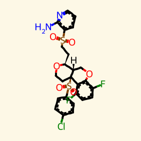 Nc1ncccc1S(=O)(=O)CC[C@@H]1OCC[C@@]2(S(=O)(=O)c3ccc(Cl)cc3)c3c(F)ccc(F)c3OC[C@@H]12